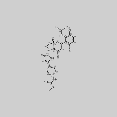 COC(=O)Nc1ccc(-c2cnc([C@@H]3CC[C@@H]4CC(c5c(F)ccc(Cl)c5OC(F)F)=CC(=O)N43)[nH]2)cc1